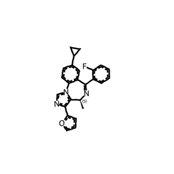 C[C@@H]1N=C(c2ccccc2F)c2cc(C3CC3)ccc2-n2cnc(-c3ccco3)c21